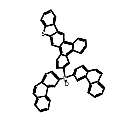 O=P(c1ccc2ccc3ccccc3c2c1)(c1ccc2ccc3ccccc3c2c1)c1ccc2c(c1)c1ccccc1c1cc3c(cc21)sc1ccccc13